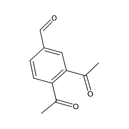 CC(=O)c1ccc(C=O)cc1C(C)=O